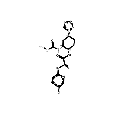 CC(C)(C)OC(=O)N[C@@H]1C[C@@H](n2cnnn2)CC[C@@H]1NC(=O)C(=O)Nc1ccc(Cl)cn1